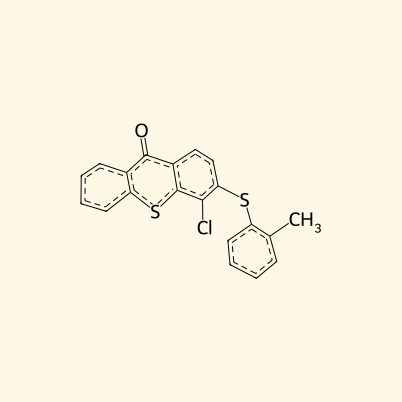 Cc1ccccc1Sc1ccc2c(=O)c3ccccc3sc2c1Cl